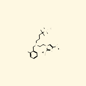 CC(C)(CCCN(CCn1cc([N+](=O)[O-])nc1[N+](=O)[O-])Cc1ccccc1Br)[Si](C)(C)O